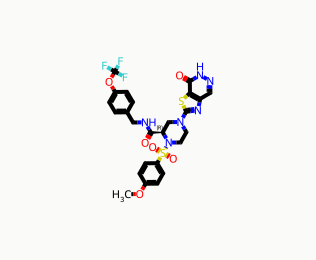 COc1ccc(S(=O)(=O)N2CCN(c3nc4cn[nH]c(=O)c4s3)C[C@@H]2C(=O)NCc2ccc(OC(F)(F)F)cc2)cc1